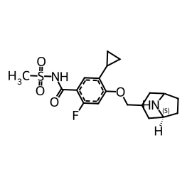 CS(=O)(=O)NC(=O)c1cc(C2CC2)c(OCC2CC3CC[C@@H](C2)N3)cc1F